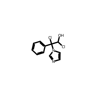 OC(Cl)C(Cl)(c1ccccc1)n1ccnc1